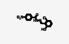 O=C(N/N=C/c1c(O)cccc1Cl)c1ccc([N+](=O)[O-])cc1